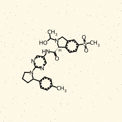 Cc1ccc(C2CCCN2c2ncc(NC(=O)[C@H]3c4ccc(S(C)(=O)=O)cc4CN3C(C)O)cn2)cc1